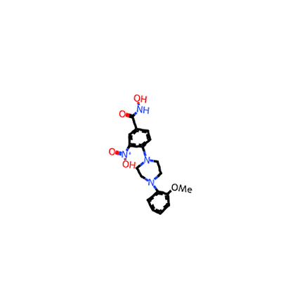 COc1ccccc1N1CCN(c2ccc(C(=O)NO)cc2[N+](=O)O)CC1